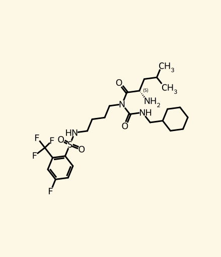 CC(C)C[C@H](N)C(=O)N(CCCCNS(=O)(=O)c1ccc(F)cc1C(F)(F)F)C(=O)NCC1CCCCC1